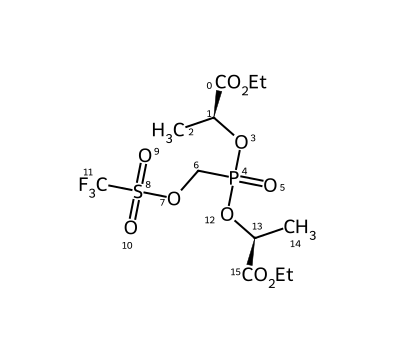 CCOC(=O)[C@H](C)OP(=O)(COS(=O)(=O)C(F)(F)F)O[C@@H](C)C(=O)OCC